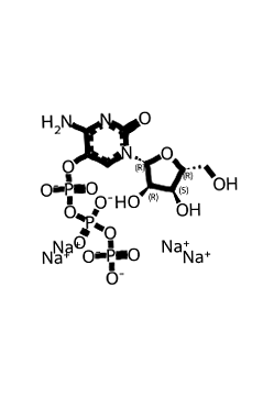 Nc1nc(=O)n([C@@H]2O[C@H](CO)[C@@H](O)[C@H]2O)cc1OP(=O)([O-])OP(=O)([O-])OP(=O)([O-])[O-].[Na+].[Na+].[Na+].[Na+]